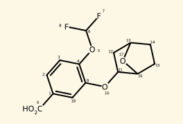 O=C(O)c1ccc(OC(F)F)c(OC2CC3CCC2O3)c1